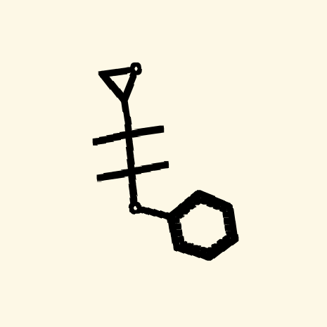 CC(C)(Oc1ccccc1)C(C)(C)C1CO1